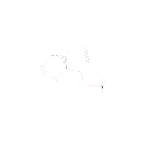 O=C(ON1C=CSc2ccccc21)C(F)(F)F